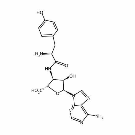 Nc1ncnc2c1ncn2[C@H]1O[C@H](C(=O)O)[C@@H](NC(=O)[C@@H](N)Cc2ccc(O)cc2)[C@H]1O